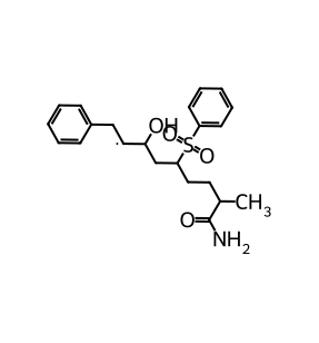 CC(CCC(CC(O)[CH]Cc1ccccc1)S(=O)(=O)c1ccccc1)C(N)=O